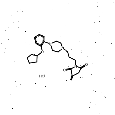 C=C1CC(=O)N(CCCN2CCN(c3ccccc3OC3CCCC3)CC2)C1=O.Cl